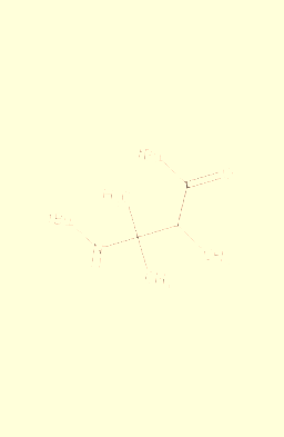 CC(C(=O)C(C)(C)C)C(C)(C)NC(C)(C)C